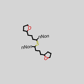 CCCCCCCCCC(CCCC1CCCO1)SC(CCCCCCCCC)CCCC1CCCO1